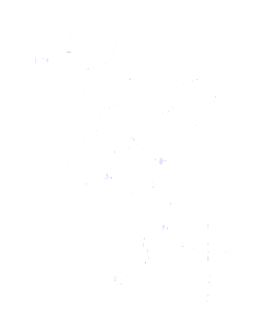 NC(=O)C1C=C(c2cccnc2[C@H](Cc2cc(F)cc(F)c2)NC(=O)Cn2nc(C(F)(F)F)c3c2C(F)(F)C2CC32)C=CC1F